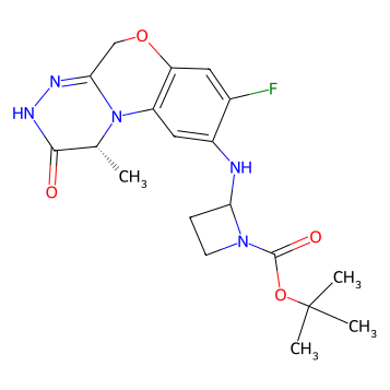 C[C@@H]1C(=O)NN=C2COc3cc(F)c(NC4CCN4C(=O)OC(C)(C)C)cc3N21